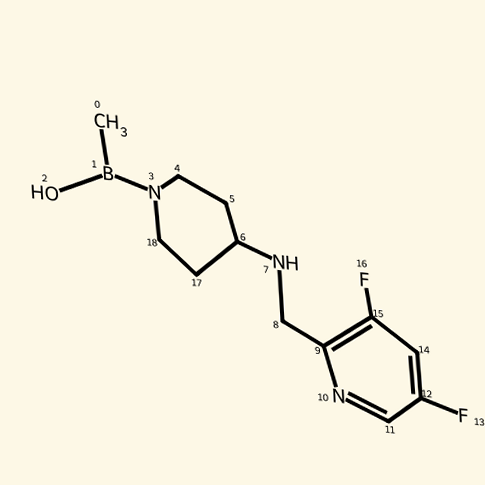 CB(O)N1CCC(NCc2ncc(F)cc2F)CC1